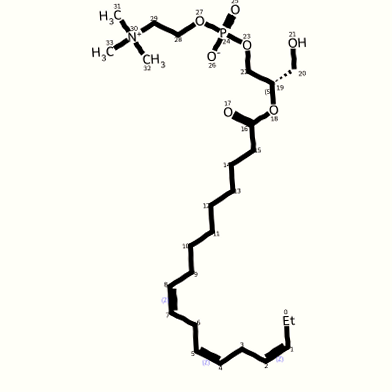 CC/C=C\C/C=C\C/C=C\CCCCCCCC(=O)O[C@@H](CO)COP(=O)([O-])OCC[N+](C)(C)C